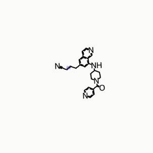 N#C/C=C/Cc1cc(NC2CCN(C(=O)c3ccncc3)CC2)c2cnccc2c1